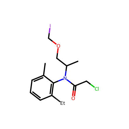 CCc1cccc(C)c1N(C(=O)CCl)C(C)COCI